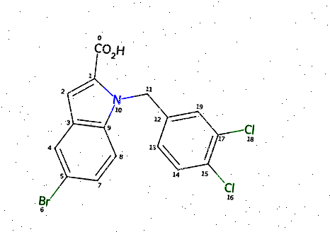 O=C(O)c1cc2cc(Br)ccc2n1Cc1ccc(Cl)c(Cl)c1